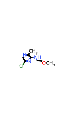 COCCNc1nc(Cl)cnc1C